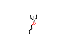 CCCCO[SiH](CC)CC